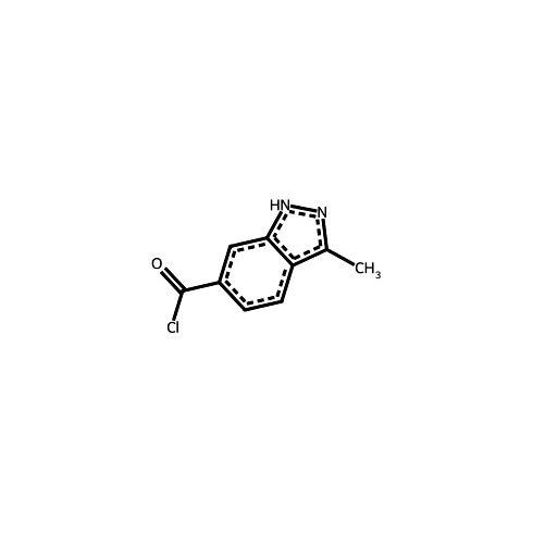 Cc1n[nH]c2cc(C(=O)Cl)ccc12